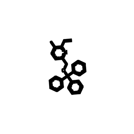 C=Cc1nc(COC(c2ccccc2)(c2ccccc2)c2ccccc2)ccc1C